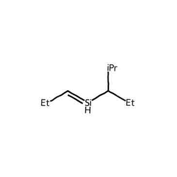 [CH2]CC=[SiH]C(CC)C(C)C